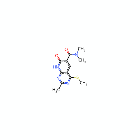 CSc1nc(C)nc2[nH]c(=O)c(C(=O)N(C)C)cc12